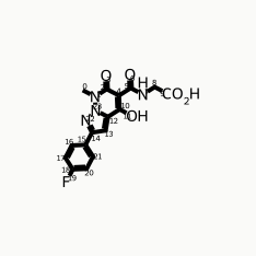 Cn1c(=O)c(C(=O)NCC(=O)O)c(O)c2cc(-c3ccc(F)cc3)nn21